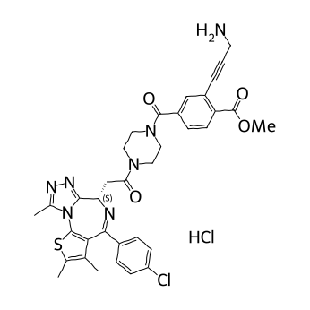 COC(=O)c1ccc(C(=O)N2CCN(C(=O)C[C@@H]3N=C(c4ccc(Cl)cc4)c4c(sc(C)c4C)-n4c(C)nnc43)CC2)cc1C#CCN.Cl